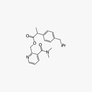 CC(C)Cc1ccc(C(C)C(=O)OCc2ncccc2C(=O)N(C)C)cc1